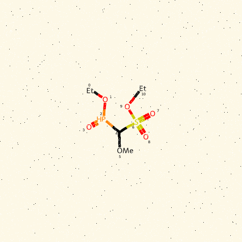 CCO[PH](=O)C(OC)S(=O)(=O)OCC